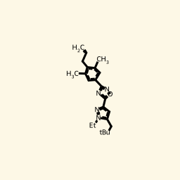 C=CCc1c(C)cc(-c2noc(-c3cc(CC(C)(C)C)n(CC)n3)n2)cc1C